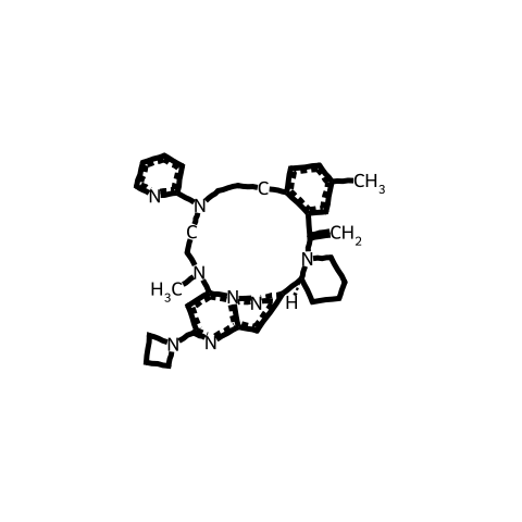 C=C1c2cc(C)ccc2CCCN(c2ccccn2)CCN(C)c2cc(N3CCC3)nc3cc(nn23)[C@@H]2CCCCN12